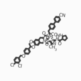 Cc1nc(NC(=O)C2CCCC2)sc1S(=O)(=O)N1Cc2cc3c(cc2C[C@H]1C(=O)N[C@@H](Cc1ccc(-c2ccc(C#N)cc2)cc1)C(=O)O)OCC(c1ccc(OCc2ccc(Cl)c(Cl)c2)cc1)O3